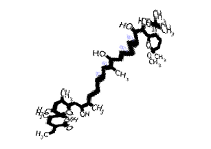 CCC1CC(C)C2(NC1=O)OC(CC(O)C(C)CC/C=C/C=C(\C)C(O)C/C=C/C=C/C(O)C(C)C1OC(C)(OC)CC[C@H]1C(C)(C)C)C(C)C=C2C